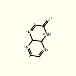 O=C1C=NC2N=CC=NC2N1